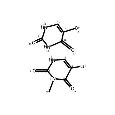 Cn1c(=O)[nH]cc(Cl)c1=O.O=c1[nH]cc(Br)c(=O)[nH]1